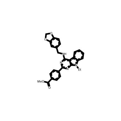 CCn1c2ccccc2c2c(NCc3ccc4c(c3)OCO4)nc(-c3ccc(C(=O)OC)cc3)nc21